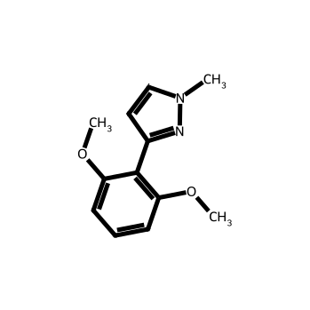 COc1cccc(OC)c1-c1c[c]n(C)n1